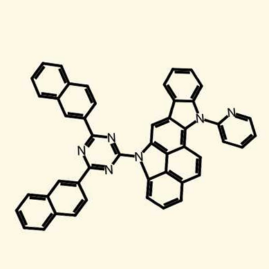 c1ccc(-n2c3ccccc3c3cc4c5c(ccc6cccc(c65)n4-c4nc(-c5ccc6ccccc6c5)nc(-c5ccc6ccccc6c5)n4)c32)nc1